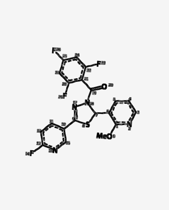 COc1ncccc1C1SC(c2ccc(F)nc2)=NN1C(=O)c1c(F)cc(F)cc1F